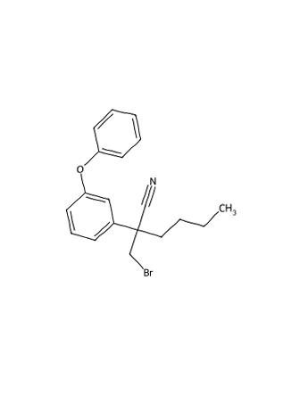 CCCCC(C#N)(CBr)c1cccc(Oc2ccccc2)c1